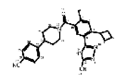 Cc1cc(C2CCC2)c(-c2nnc(C#N)[nH]2)cc1C(=O)N1CCC(c2ccc(C#N)cc2)CC1